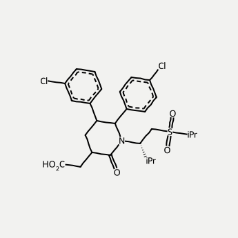 CC(C)[C@@H](CS(=O)(=O)C(C)C)N1C(=O)C(CC(=O)O)CC(c2cccc(Cl)c2)C1c1ccc(Cl)cc1